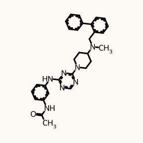 CC(=O)Nc1cccc(Nc2ncnc(N3CCC(N(C)Cc4ccccc4-c4ccccc4)CC3)n2)c1